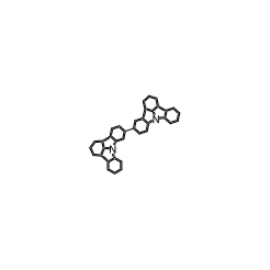 c1ccc2c(c1)c1cccc3c4cc(-c5ccc6c7cccc8c9ccccc9n(c6c5)c87)ccc4n2c13